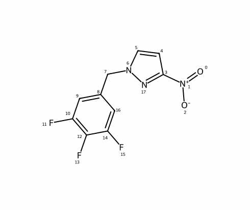 O=[N+]([O-])c1ccn(Cc2cc(F)c(F)c(F)c2)n1